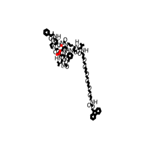 CC[C@H](C)[C@@H]([C@@H](CC(=O)N1CCC[C@H]1[C@H](OC)[C@@H](C)C(=O)N[C@H](C)[C@@H](O)c1ccccc1)OC)N(C)C(=O)[C@@H](NC(=O)[C@H](C(C)C)N(C)C(=O)OCc1ccc(NC(=O)[C@H](CCCNC(N)=O)NC(=O)[C@@H](NC(=O)CCOCCOCCOCCOCCOCCOCCNC(=O)OCC2c3ccccc3-c3ccccc32)C(C)C)cc1)C(C)C